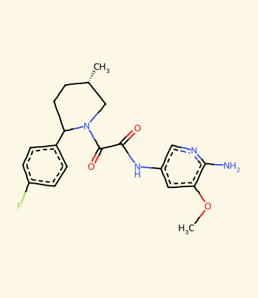 COc1cc(NC(=O)C(=O)N2C[C@@H](C)CCC2c2ccc(F)cc2)cnc1N